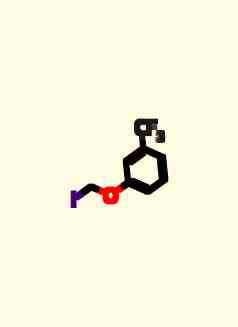 FC(F)(F)c1cccc(OCI)c1